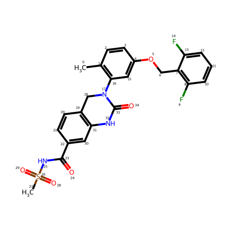 Cc1ccc(OCc2c(F)cccc2F)cc1N1Cc2ccc(C(=O)NS(C)(=O)=O)cc2NC1=O